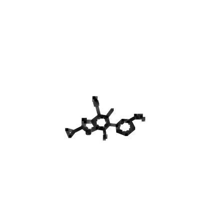 Cc1c(-c2cccc(N)c2)c(F)c2oc(C3CC3)nc2c1C#N